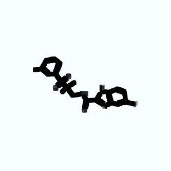 Cc1cccc(S(=O)(=O)C(C)(C)CNC(=O)c2nc3cc(F)ccc3[nH]2)c1